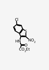 CCOC(=O)C(=O)Nc1c([N+](=O)[O-])sc2cc(Cl)ccc12